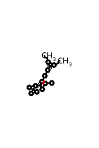 CCCc1ccc2c(c1)c1cc(CCC)ccc1n2-c1ccc(-c2ccc(-c3ccc(N(c4ccc5c(c4)C(c4ccccc4)(c4ccccc4)c4ccccc4-5)c4ccccc4-c4cccc(-c5ccccc5)c4)cc3)cc2)cc1